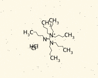 CCCCN=C(N(CCCC)CCCC)[N+](CCCC)(CCCC)CCCC.Cl.[Cl-]